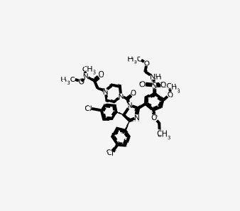 CCOc1cc(OC)c(S(=O)(=O)NCOC)cc1C1=N[C@@H](c2ccc(Cl)cc2)[C@@H](c2ccc(Cl)cc2)N1C(=O)N1CCN(CC(=O)N(C)OC)CC1